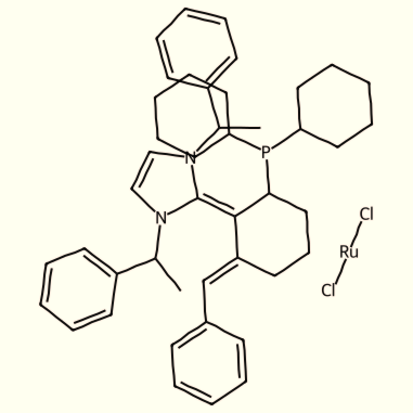 CC(c1ccccc1)N1C=CN(C(C)c2ccccc2)C1=C1C(=Cc2ccccc2)CCCC1P(C1CCCCC1)C1CCCCC1.[Cl][Ru][Cl]